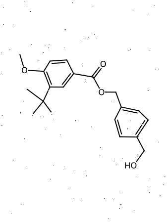 COc1ccc(C(=O)OCc2ccc(CO)cc2)cc1C(C)(C)C